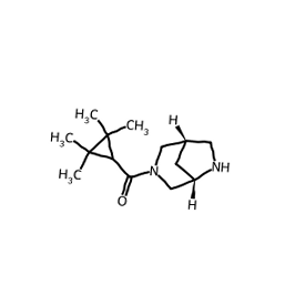 CC1(C)C(C(=O)N2C[C@@H]3CN[C@@H](C3)C2)C1(C)C